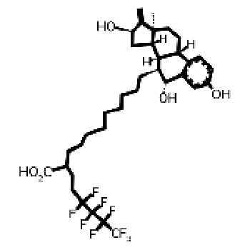 C=C1[C@H](O)C[C@H]2[C@@H]3[C@H](CCCCCCCCCC(CCC(F)(F)C(F)(F)C(F)(F)C(F)(F)F)C(=O)O)[C@@H](O)c4cc(O)ccc4[C@H]3CC[C@]12C